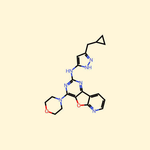 c1cnc2oc3c(N4CCOCC4)nc(Nc4cc(CC5CC5)n[nH]4)nc3c2c1